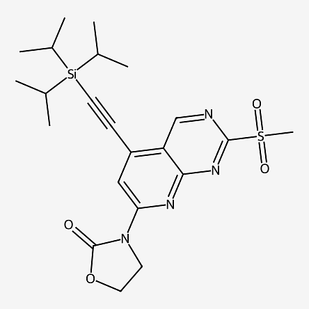 CC(C)[Si](C#Cc1cc(N2CCOC2=O)nc2nc(S(C)(=O)=O)ncc12)(C(C)C)C(C)C